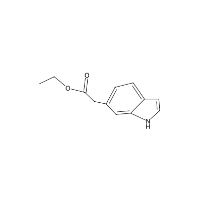 CCOC(=O)Cc1ccc2cc[nH]c2c1